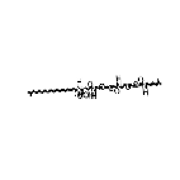 CC(C)CCCCCCCCCCCCCCCC(=O)N[C@@H](CCC(=O)NCCOCCOCC(=O)NCCOCCOCC(=O)NCCCCC(C)C)C(=O)O